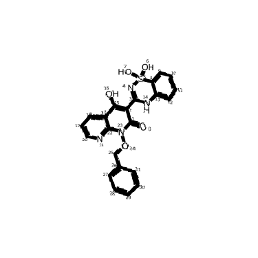 O=c1c(C2=NS(O)(O)c3ccccc3N2)c(O)c2cccnc2n1OCc1ccccc1